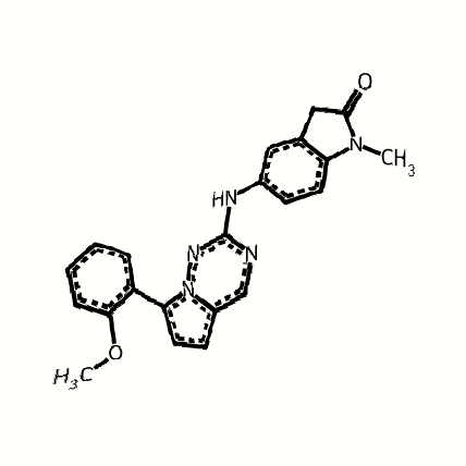 COc1ccccc1-c1ccc2cnc(Nc3ccc4c(c3)CC(=O)N4C)nn12